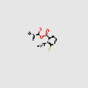 C=C(C(=O)OC(=O)c1cccc(F)c1[N+](=O)[O-])C(C)(C)C